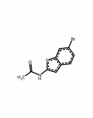 CC(=O)Nc1cc2ccc(Br)[c]c2s1